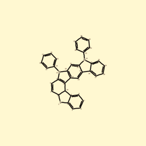 C1=CC2Sc3ccccc3C2c2c1n(-c1ccccc1)c1cc3c(cc21)c1ccccc1n3-c1ccccc1